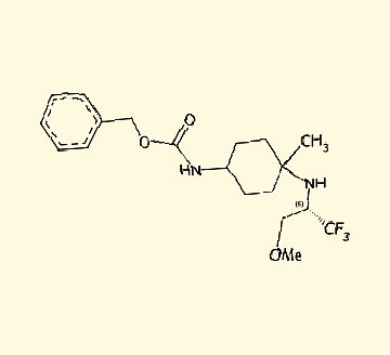 COC[C@H](NC1(C)CCC(NC(=O)OCc2ccccc2)CC1)C(F)(F)F